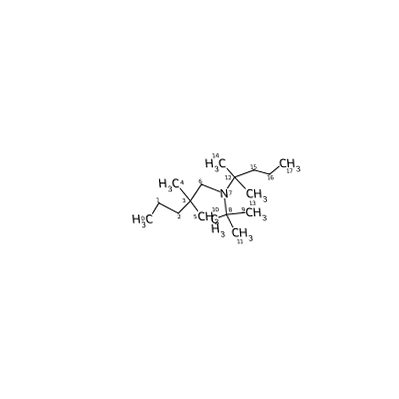 CCCC(C)(C)CN(C(C)(C)C)C(C)(C)CCC